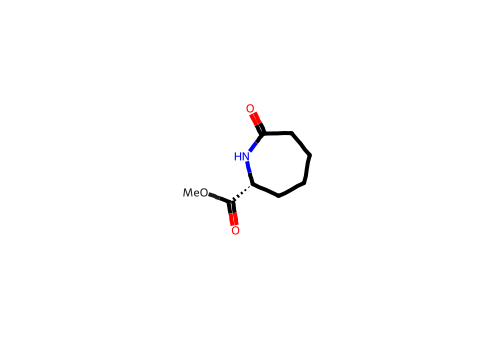 COC(=O)[C@H]1CCCCC(=O)N1